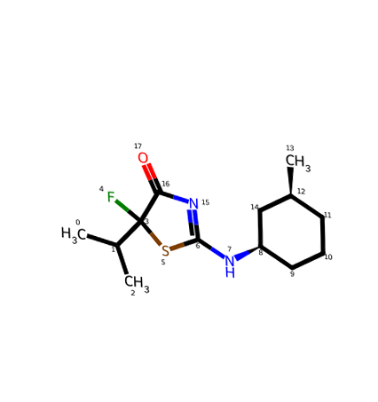 CC(C)C1(F)SC(N[C@@H]2CCC[C@H](C)C2)=NC1=O